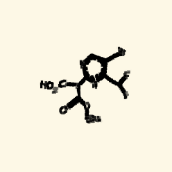 CC(C)(C)OC(=O)N(C(=O)O)c1ncc(Br)c(C(F)F)n1